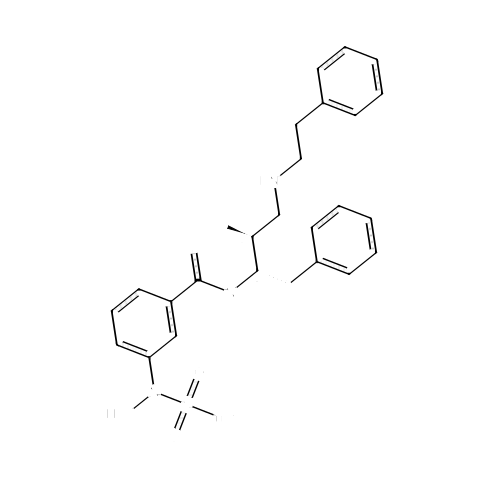 CCCS(=O)(=O)N(C)c1cccc(C(=O)N[C@@H](Cc2ccccc2)[C@@H](O)CNCCc2ccccc2)c1